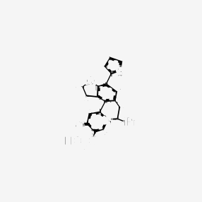 CC(C)C1Cc2cc(-c3cccs3)c3c(c2-c2cc(=O)c(C(=O)O)cn21)CCO3